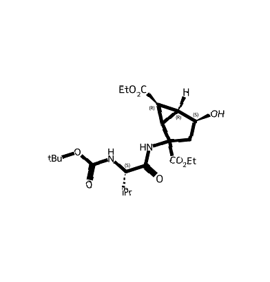 CCOC(=O)[C@@H]1C2[C@H]1[C@@H](O)CC2(NC(=O)[C@@H](NC(=O)OC(C)(C)C)C(C)C)C(=O)OCC